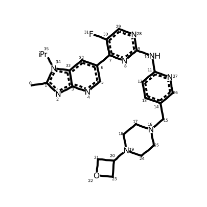 Cc1nc2ncc(-c3nc(Nc4ccc(CN5CCN(C6COC6)CC5)cn4)ncc3F)cc2n1C(C)C